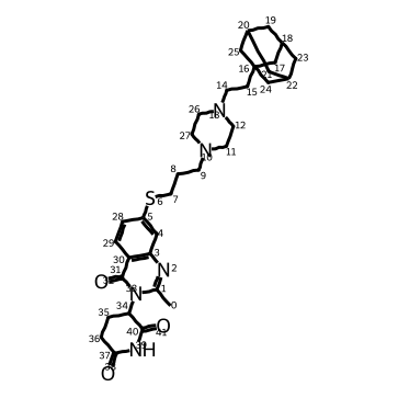 Cc1nc2cc(SCCCN3CCN(CCC45CC6CC(CC(C6)C4)C5)CC3)ccc2c(=O)n1C1CCC(=O)NC1=O